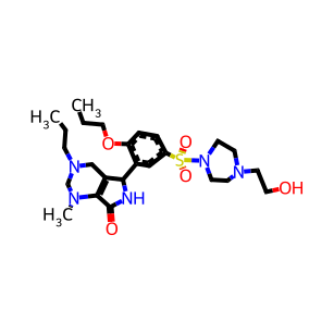 CCCOc1ccc(S(=O)(=O)N2CCN(CCO)CC2)cc1C1NC(=O)C2=C1CN(CCC)CN2C